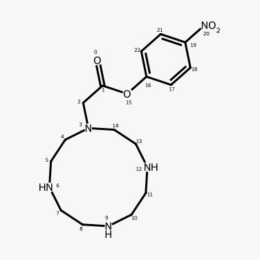 O=C(CN1CCNCCNCCNCC1)Oc1ccc([N+](=O)[O-])cc1